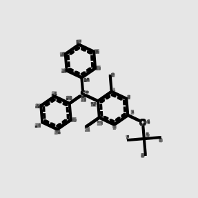 Cc1cc(OC(C)(C)C)cc(C)c1[S+](c1ccccc1)c1ccccc1